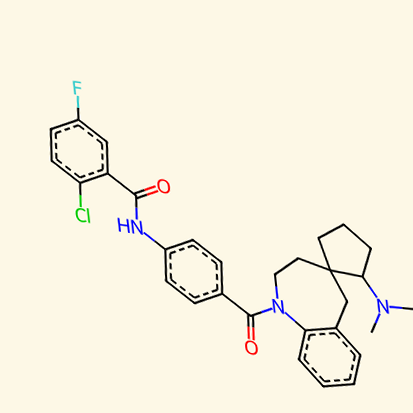 CN(C)C1CCCC12CCN(C(=O)c1ccc(NC(=O)c3cc(F)ccc3Cl)cc1)c1ccccc1C2